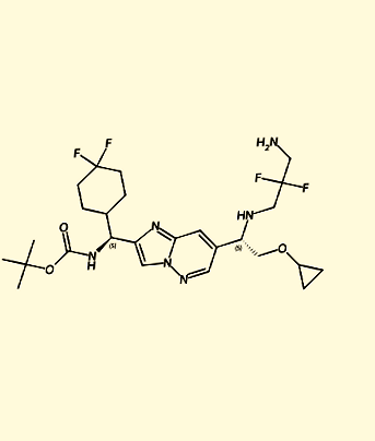 CC(C)(C)OC(=O)N[C@H](c1cn2ncc([C@@H](COC3CC3)NCC(F)(F)CN)cc2n1)C1CCC(F)(F)CC1